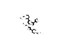 Cn1cc(-c2cnn3c(N(C(=O)OC(C)(C)C)c4cc(C5CCN(C(=O)OC(C)(C)C)CC5)ns4)cc(C4CCCN(C(=O)OC(C)(C)C)C4)nc23)cn1